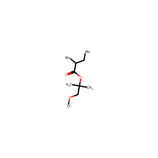 CCOCC(C)(C)OC(=O)C(CC(C)(C)C)C(C)(C)C